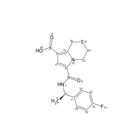 C[C@@H](NC(=O)c1cc(C(=O)O)c2n1CCSC2)c1ccc(F)cc1